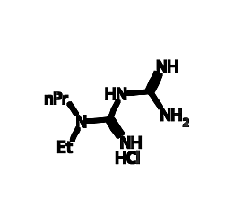 CCCN(CC)C(=N)NC(=N)N.Cl